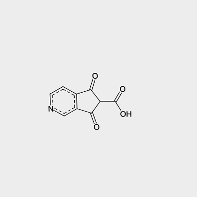 O=C(O)C1C(=O)c2ccncc2C1=O